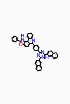 C1=CC2=CC(C3N=C(C4C=CC(c5nc6ccccc6c6c7c(ccc56)OC(c5ccccc5)N7)=CC4)N=C(c4ccc5ccccc5c4)N3)=CCC2CC1